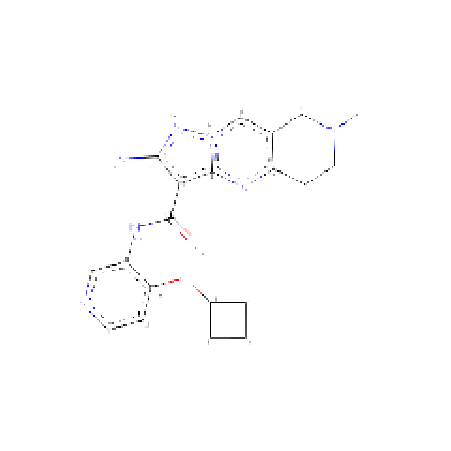 CN1CCc2nc3c(C(=O)Nc4cnccc4OC4CCC4)c(N)nn3cc2C1